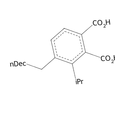 CCCCCCCCCCCc1ccc(C(=O)O)c(C(=O)O)c1C(C)C